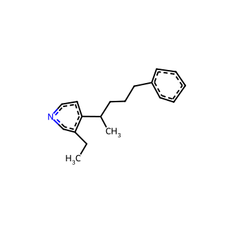 CCc1cnccc1C(C)CCCc1ccccc1